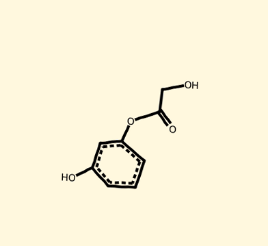 O=C(CO)Oc1cccc(O)c1